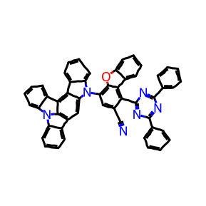 N#Cc1cc(-n2c3ccccc3c3c4c5ccccc5n5c6ccccc6c(cc32)c45)c2oc3ccccc3c2c1-c1nc(-c2ccccc2)nc(-c2ccccc2)n1